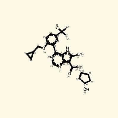 Cc1[nH]c2c(-c3cc(C(F)(F)F)ccc3OCC3CC3)ncnc2c1C(=O)N[C@@H]1CC[C@H](O)C1